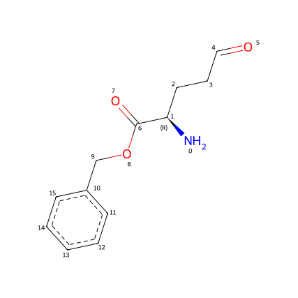 N[C@H](CCC=O)C(=O)OCc1ccccc1